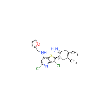 CC1=C(C)C[C@@H](c2sc3c(NCc4ccco4)cc(Cl)nc3c2Cl)[C@H](N)C1